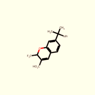 CCCC(C)(C)c1ccc2c(c1)OC(C(F)(F)F)C(C(=O)O)=C2